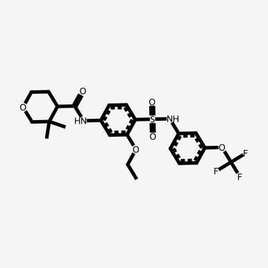 CCOc1cc(NC(=O)C2CCOCC2(C)C)ccc1S(=O)(=O)Nc1cccc(OC(F)(F)F)c1